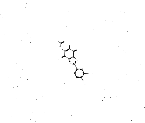 CC(=O)NC1=C(Cl)C(=O)c2[nH]c(-c3ccc(Br)c(F)c3)nc2C1=O